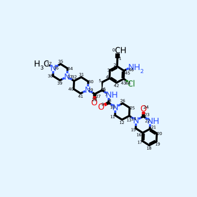 C#Cc1cc(C[C@@H](NC(=O)N2CCC(N3Cc4ccccc4NC3=O)CC2)C(=O)N2CCC(N3CCN(C)CC3)CC2)cc(Cl)c1N